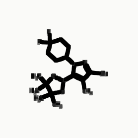 Cc1c(C(C)(C)C)nn(C2CCC(F)(F)CC2)c1B1OC(C)(C)C(C)(C)O1